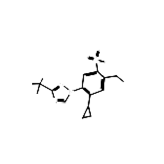 CCc1cc(C2CC2)c(-n2cnc(C(F)(F)F)n2)cc1S(=O)(=O)Cl